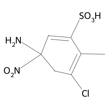 CC1=C(Cl)CC(N)([N+](=O)[O-])C=C1S(=O)(=O)O